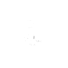 CNC(=O)C(NC(C)=O)C1(OCC2CCCCC2)CC1